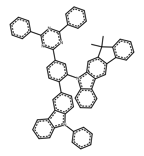 CC1(C)c2ccccc2-c2cc3c4ccccc4n(-c4cc(-c5nc(-c6ccccc6)nc(-c6ccccc6)n5)ccc4-c4ccc5c(c4)c4ccccc4n5-c4ccccc4)c3cc21